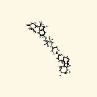 C[C@@H]1CNc2c(sc3ccc4nc(N5CCN([C@H]6C[C@@H]7CN(c8ccc9c(c8)n(C)c(=O)n9C8CCC(=O)NC8=O)C[C@@H]7C6)CC5)ccc4c23)C(=O)N1